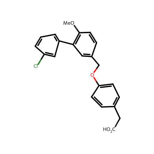 COc1ccc(COc2ccc(CC(=O)O)cc2)cc1-c1cccc(Cl)c1